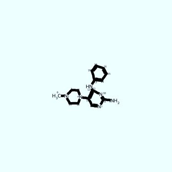 CN1CCN(c2cnc(N)nc2Nc2ccccc2)CC1